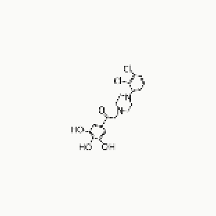 O=C(CN1CCN(c2cccc(Cl)c2Cl)CC1)c1cc(O)c(O)c(O)c1